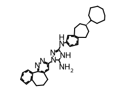 NC1NC(Nc2ccc3c(c2)CC[C@@H](C2CCCCCCC2)CC3)=NN1c1cc2c(nn1)-c1ccccc1CCC2